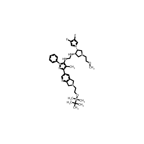 COCCN1C[C@@H](n2cc(F)c(F)c2)[C@H](NCNc2c(C)c(-c3cnc4c(c3)CN(CCO[Si](C)(C)C(C)(C)C)C4)nn2-c2ccccc2)C1